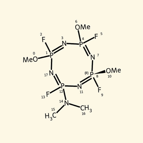 COP1(F)=NP(F)(OC)=N[P@@](F)(OC)=NP(F)(N(C)C)=N1